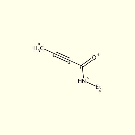 CC#CC(=O)NCC